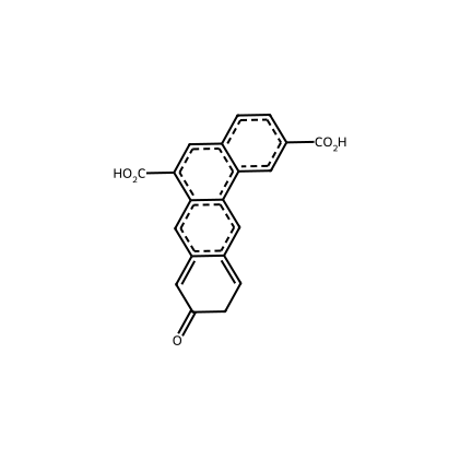 O=C1C=c2cc3c(C(=O)O)cc4ccc(C(=O)O)cc4c3cc2=CC1